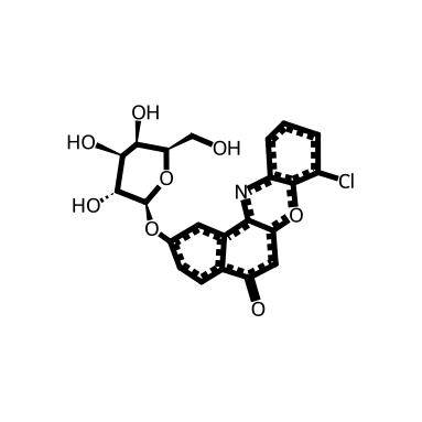 O=c1cc2oc3c(Cl)cccc3nc-2c2cc(O[C@@H]3O[C@H](CO)[C@H](O)[C@H](O)[C@H]3O)ccc12